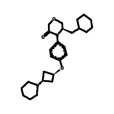 O=C1COC[C@@H](CC2CCCCC2)N1c1ccc(O[C@H]2C[C@H](N3CCCCC3)C2)cc1